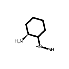 N[C@H]1CCCCC1NS